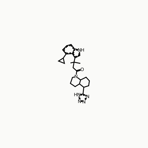 CC(C)(CC(=O)N1CCCC2C(c3nnn[nH]3)CCCC21)c1c[nH]c2cccc(C3CC3)c12